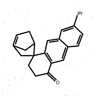 CC(C)c1ccc2cc3c(cc2c1)C1(CCC3=O)CC2=CCC1C2